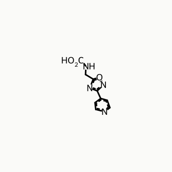 O=C(O)NCc1nc(-c2ccncc2)no1